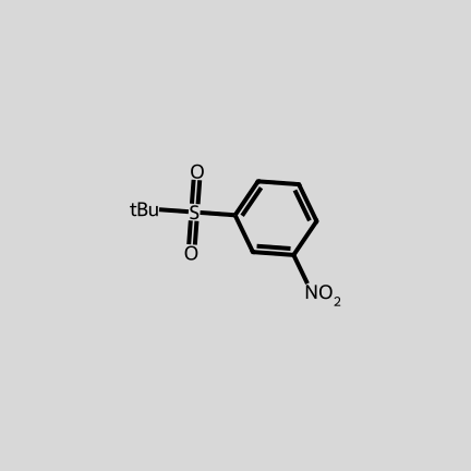 CC(C)(C)S(=O)(=O)c1cccc([N+](=O)[O-])c1